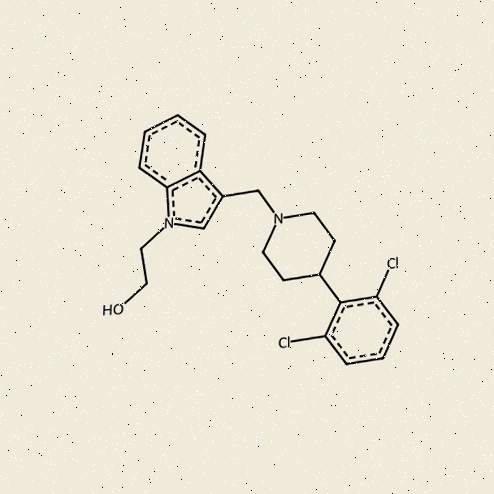 OCCn1cc(CN2CCC(c3c(Cl)cccc3Cl)CC2)c2ccccc21